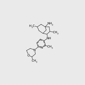 Cc1nc(N2CCOC(C)C2)ccc1NC1C(C)CC2(N)CC(C)CC1C2